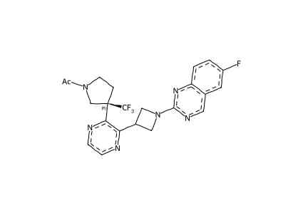 CC(=O)N1CC[C@@](c2nccnc2C2CN(c3ncc4cc(F)ccc4n3)C2)(C(F)(F)F)C1